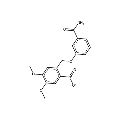 COc1cc(COc2cccc(C(N)=O)c2)c([N+](=O)[O-])cc1OC